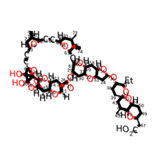 C=C1C[C@@H]2CC[C@@]34O[C@H]5[C@H]6O[C@H](CC[C@@H]6O[C@@H]6[C@H]5OC5(O)C6(O3)C54O)CC(=O)O[C@@H]3CC4OC5C[C@H](O[C@H]6CC[C@@]7(C[C@H](C)[C@@H]8O[C@H](CC(=O)O)CC[C@@H]8O7)O[C@H]6CC)O[C@@H]5C[C@@H]4O[C@H]3C[C@H]3O[C@@H](CC[C@@H]1O2)C[C@@H](C)C3=C